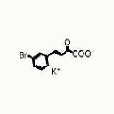 O=C([O-])C(=O)C=Cc1cccc(Br)c1.[K+]